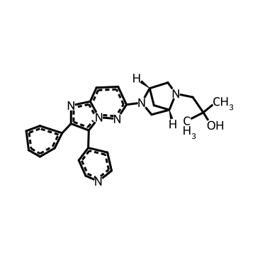 CC(C)(O)CN1C[C@@H]2C[C@H]1CN2c1ccc2nc(-c3ccccc3)c(-c3ccncc3)n2n1